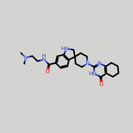 CN(C)CCNC(=O)c1ccc2c(c1)NCC21CCN(c2nc3c(c(=O)[nH]2)CCCC3)CC1